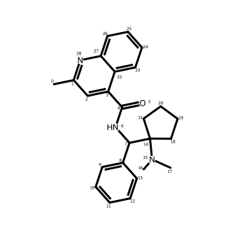 Cc1cc(C(=O)NC(c2ccccc2)C2(N(C)C)CCCC2)c2ccccc2n1